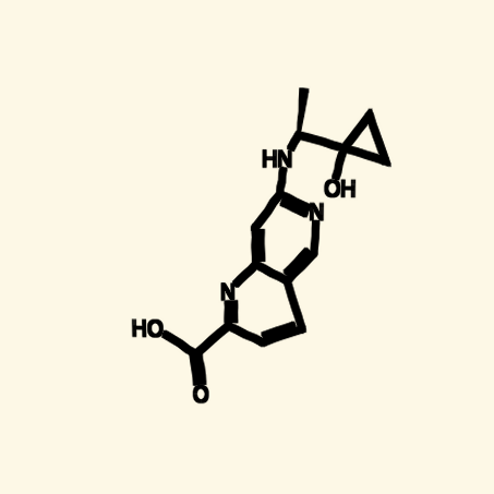 C[C@H](Nc1cc2nc(C(=O)O)ccc2cn1)C1(O)CC1